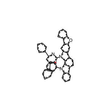 c1ccc(-c2cc(-c3ccccc3)nc(-n3c4cc5c(cc4c4ccc6c7ccccc7n(-c7ccccc7)c6c43)oc3ccccc35)n2)cc1